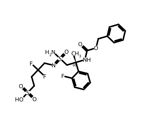 C[C@@](CS(N)(=O)=NCC(F)(F)CCS(=O)(=O)O)(NC(=O)OCc1ccccc1)c1ccccc1F